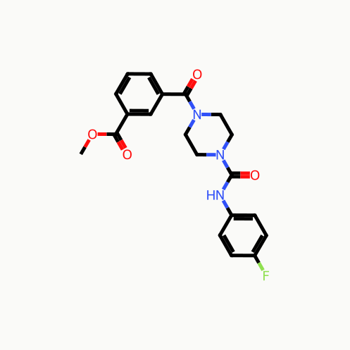 COC(=O)c1cccc(C(=O)N2CCN(C(=O)Nc3ccc(F)cc3)CC2)c1